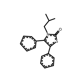 CC(C)Cn1c(-c2ccccc2)c(-c2ccccc2)sc1=O